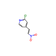 O=[N+]([O-])C=Cc1ccnc(Cl)c1